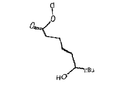 CCCCC(O)CCCCC(=O)OCl